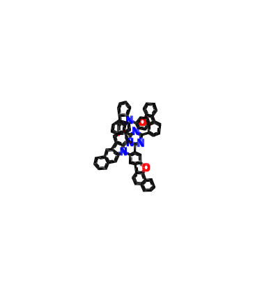 c1ccc(-n2c3ccccc3c3cccc(-c4nc(-c5cc6oc7c8ccccc8ccc7c6cc5-n5c6cc7ccccc7cc6c6cc7ccccc7cc65)nc(-c5cccc6c5oc5ccccc56)n4)c32)cc1